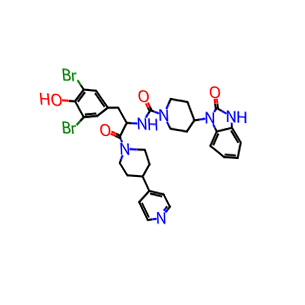 O=C(NC(Cc1cc(Br)c(O)c(Br)c1)C(=O)N1CCC(c2ccncc2)CC1)N1CCC(n2c(=O)[nH]c3ccccc32)CC1